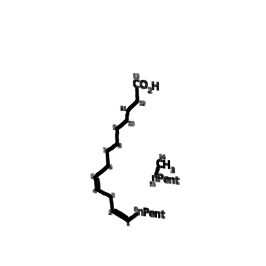 CCCCC/C=C\C/C=C\CCCCCCCC(=O)O.CCCCCC